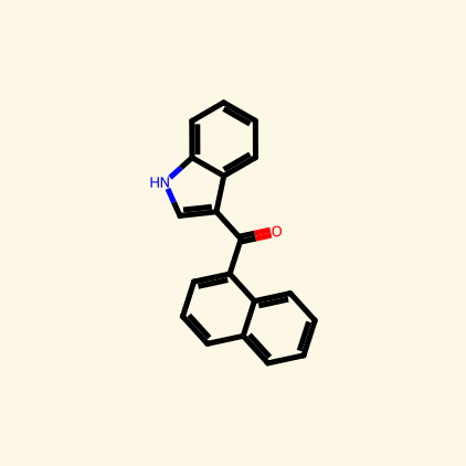 O=C(c1cccc2ccccc12)c1c[nH]c2ccccc12